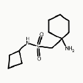 NC1(CS(=O)(=O)NC2CCC2)CCCCC1